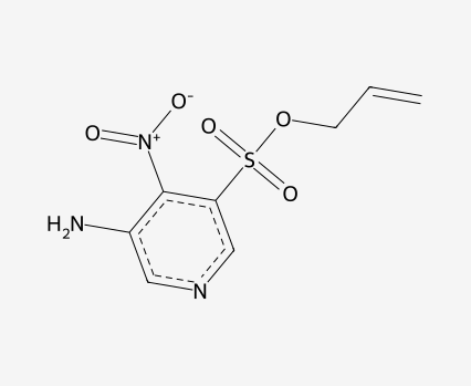 C=CCOS(=O)(=O)c1cncc(N)c1[N+](=O)[O-]